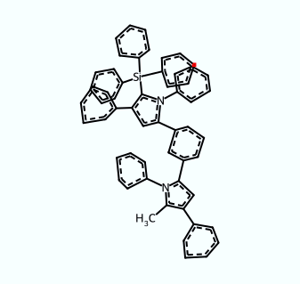 Cc1c(-c2ccccc2)cc(-c2cccc(-c3cc(-c4ccccc4)c([Si](c4ccccc4)(c4ccccc4)c4ccccc4)n3-c3ccccc3)c2)n1-c1ccccc1